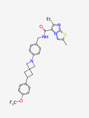 CCc1nc2sc(C)cn2c1C(=O)NCc1ccc(N2CC3(CC(c4ccc(OC(F)(F)F)cc4)C3)C2)cc1